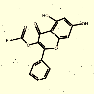 CCC(=O)Oc1c(-c2ccccc2)oc2cc(O)cc(O)c2c1=O